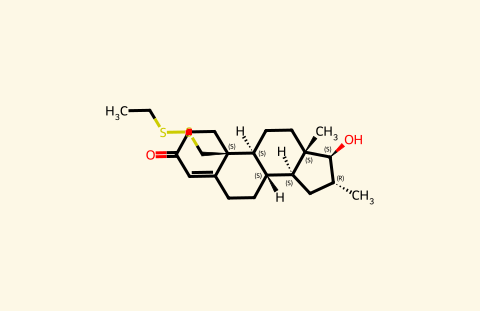 CCSSC[C@]12CCC(=O)C=C1CC[C@@H]1[C@@H]2CC[C@]2(C)[C@@H](O)[C@H](C)C[C@@H]12